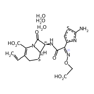 C=CC1=C(C(=O)O)N2C(=O)[C@@H](NC(=O)/C(=N\OCC(=O)O)c3csc(N)n3)[C@H]2SC1.O.O.O